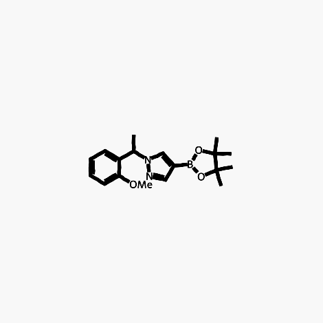 COc1ccccc1C(C)n1cc(B2OC(C)(C)C(C)(C)O2)cn1